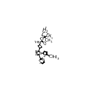 Cc1ccc(-n2c(-c3nccs3)nnc2C2CC(NC(=O)OC(C)(C)C)C2)s1